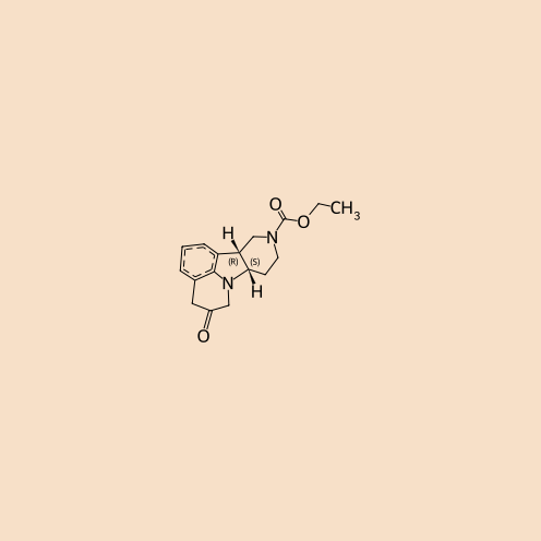 CCOC(=O)N1CC[C@H]2[C@@H](C1)c1cccc3c1N2CC(=O)C3